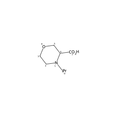 CC(C)N1CCOCC1C(=O)O